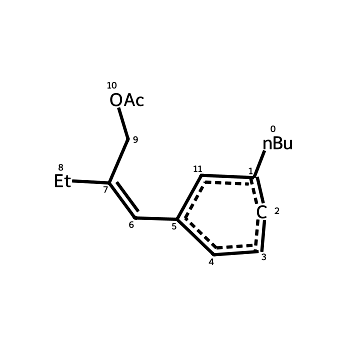 CCCCc1cccc(C=C(CC)COC(C)=O)c1